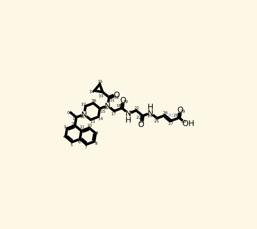 CC(c1cccc2ccccc12)N1CCC(N(CC(=O)NCC(=O)NC/C=C/C(=O)O)C(=O)C2CC2)CC1